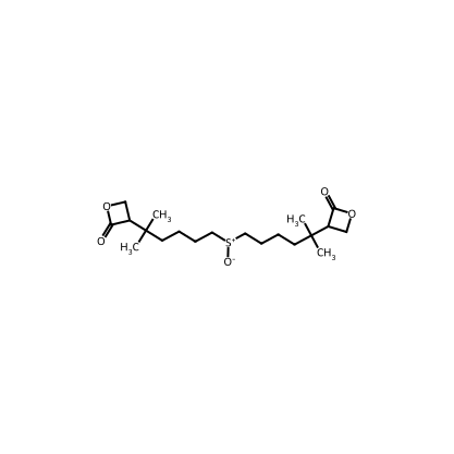 CC(C)(CCCC[S+]([O-])CCCCC(C)(C)C1COC1=O)C1COC1=O